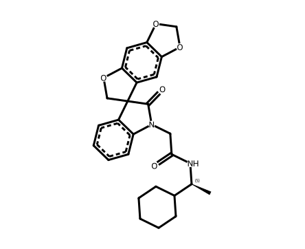 C[C@H](NC(=O)CN1C(=O)C2(COc3cc4c(cc32)OCO4)c2ccccc21)C1CCCCC1